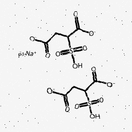 O=C([O-])CC(C(=O)[O-])S(=O)(=O)O.O=C([O-])CC(C(=O)[O-])S(=O)(=O)O.[Na+].[P+3]